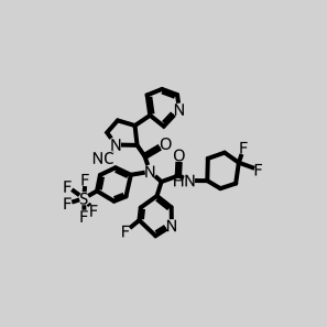 N#CN1CCC(c2cccnc2)C1C(=O)N(c1ccc(S(F)(F)(F)(F)F)cc1)C(C(=O)NC1CCC(F)(F)CC1)c1cncc(F)c1